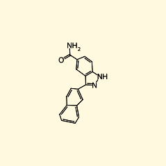 NC(=O)c1ccc2[nH]nc(-c3ccc4ccccc4c3)c2c1